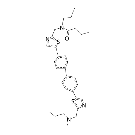 CCCC(=O)N(CCC)Cc1ncc(-c2ccc(-c3ccc(-c4cnc(CN(C)CCC)s4)cc3)cc2)s1